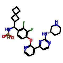 O=[SH](=O)N[C@H](c1ccc(Oc2ncccc2-c2ccnc(N[C@H]3CCCNC3)n2)c(F)c1F)C1CC2(CCC2)C1